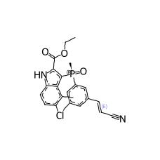 CCOC(=O)c1[nH]c2ccc(Cl)c(C)c2c1[P@](C)(=O)c1cc(C)cc(/C=C/C#N)c1